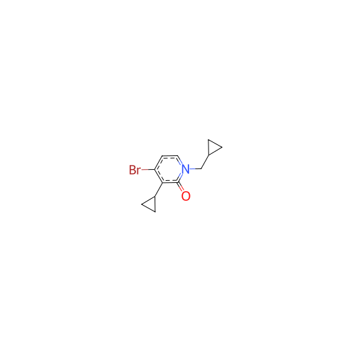 O=c1c(C2CC2)c(Br)ccn1CC1CC1